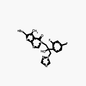 CCCCc1sc2ncn(CC(O)(Cn3cncn3)c3ccc(F)cc3F)c(=O)c2c1C